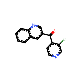 O=C(c1cnc2ccccc2c1)c1ccncc1Cl